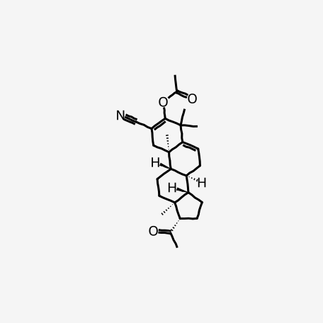 CC(=O)OC1=C(C#N)C[C@@]2(C)C(=CC[C@H]3[C@@H]4CC[C@H](C(C)=O)[C@@]4(C)CC[C@@H]32)C1(C)C